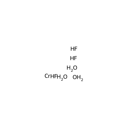 F.F.F.O.O.O.[Cr]